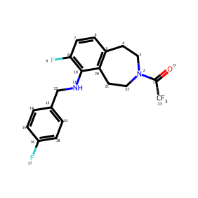 O=C(N1CCc2ccc(F)c(NCc3ccc(F)cc3)c2CC1)C(F)(F)F